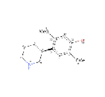 COc1cc([C@@H]2CCCNC2)c(OC)cc1Br